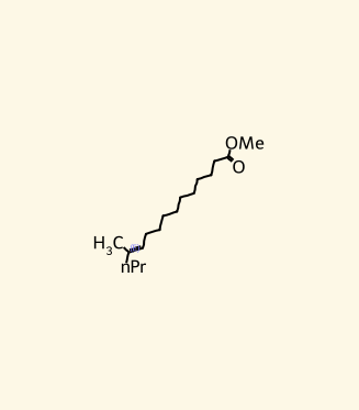 CCC/C(C)=C/CCCCCCCCCC(=O)OC